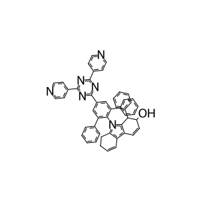 OC1C=Cc2c3c(n(-c4c(-c5ccccc5)cc(-c5nc(-c6ccncc6)nc(-c6ccncc6)n5)cc4-c4ccccc4)c2C1c1ccccc1)CCC=C3